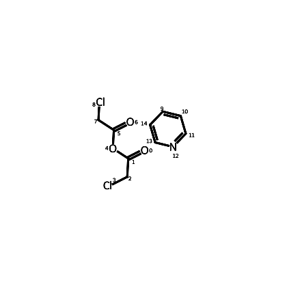 O=C(CCl)OC(=O)CCl.c1ccncc1